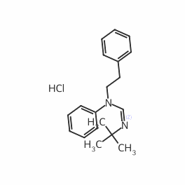 CC(C)(C)/N=C\N(CCc1ccccc1)c1ccccc1.Cl